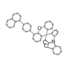 c1ccc2c(c1)Oc1c(-c3ccc(-c4cccc5ccccc45)cc3)cccc1C21c2ccccc2-n2c3ccccc3c3cccc1c32